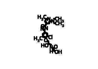 CCN(CC)c1cc(-c2nc(-c3cc(C)c(OCC(O)CNC(=O)CO)c(Cl)c3)no2)cc(C)n1